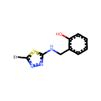 CCc1nnc(NCc2ccccc2O)s1